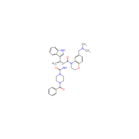 C[C@@H](c1c[nH]c2ccccc12)[C@@H](NC(=O)N1CCN(C(=O)c2ccccc2)CC1)C(=O)N1CCOc2ccc(CN(C)C)cc21